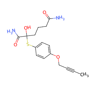 CC#CCOc1ccc(SC(O)(CCCC(N)=O)C(N)=O)cc1